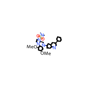 COc1cc(OC)cc(N(Cc2nccn2S(=O)(=O)N(C)C)c2ccc3ncc(-c4ccccc4)cc3c2)c1